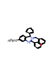 CCCCCc1ccc2c(c1)N=C(c1ccccc1)N(Cc1ccccc1)C2c1ccccc1